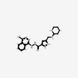 O=C(NNc1nnc(Cl)c2ccccc12)c1cc(COC2CCCCO2)on1